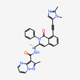 Cc1nn2cccnc2c1C(=O)N[C@H](C)c1cc2cccc(C#Cc3cnc(C)n3C)c2c(=O)n1-c1ccccc1